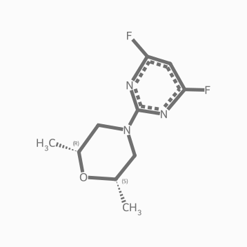 C[C@@H]1CN(c2nc(F)cc(F)n2)C[C@H](C)O1